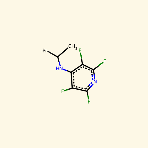 CC(C)C(C)Nc1c(F)c(F)nc(F)c1F